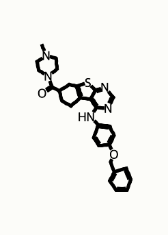 CN1CCN(C(=O)C2CCc3c(sc4ncnc(Nc5ccc(OCc6ccccc6)cc5)c34)C2)CC1